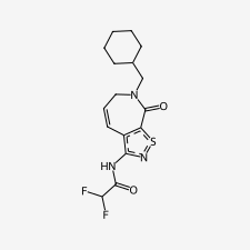 O=C(Nc1nsc2c1C=CCN(CC1CCCCC1)C2=O)C(F)F